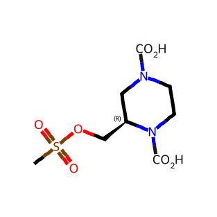 CS(=O)(=O)OC[C@H]1CN(C(=O)O)CCN1C(=O)O